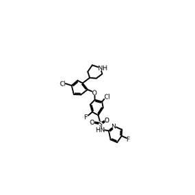 O=S(=O)(Nc1ccc(F)cn1)c1cc(Cl)c(Oc2ccc(Cl)cc2C2CCNCC2)cc1F